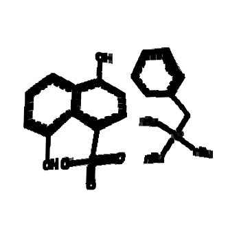 CCCC[N+](CCCC)(CCCC)Cc1ccccc1.O=S(=O)([O-])c1ccc(O)c2cccc(O)c12